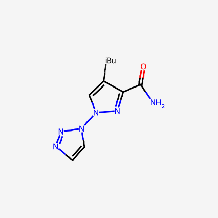 CCC(C)c1cn(-n2ccnn2)nc1C(N)=O